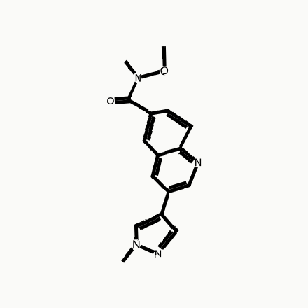 CON(C)C(=O)c1ccc2ncc(-c3cnn(C)c3)cc2c1